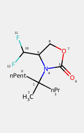 CCCCCC(C)(CCC)N1C(=O)OCC1C(F)F